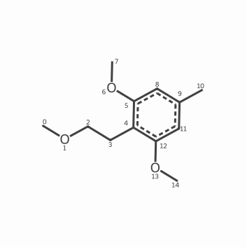 COCCc1c(OC)cc(C)cc1OC